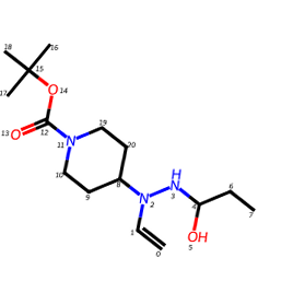 C=CN(NC(O)CC)C1CCN(C(=O)OC(C)(C)C)CC1